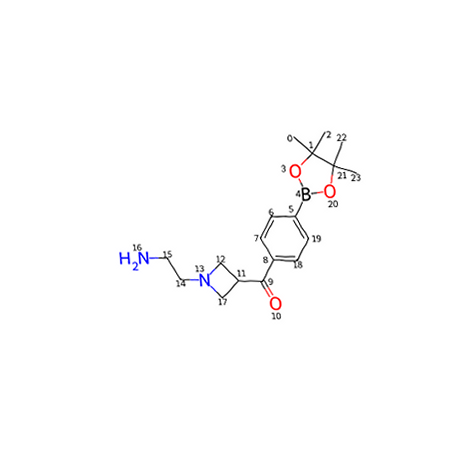 CC1(C)OB(c2ccc(C(=O)C3CN(CCN)C3)cc2)OC1(C)C